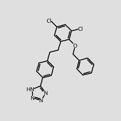 Clc1cc(Cl)c(OCc2ccccc2)c(CCc2ccc(-c3nnn[nH]3)cc2)c1